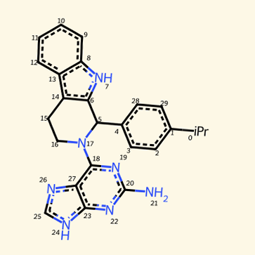 CC(C)c1ccc(C2c3[nH]c4ccccc4c3CCN2c2nc(N)nc3[nH]cnc23)cc1